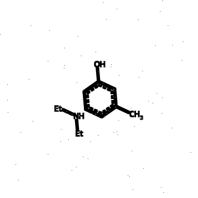 CCNCC.Cc1cccc(O)c1